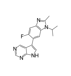 Cc1nc2cc(F)c(-c3c[nH]c4ncncc34)cc2n1C(C)C